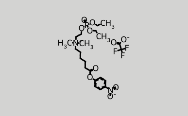 CCOP(=O)(OCC)OCC[N+](C)(C)CCCCCC(=O)Oc1ccc([N+](=O)[O-])cc1.O=C([O-])C(F)(F)F